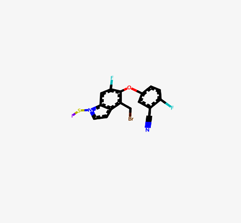 N#Cc1cc(Oc2c(F)cc3c(ccn3SI)c2CBr)ccc1F